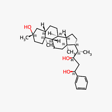 C[C@H]([C@H](O)C[C@H](O)c1ccccc1)[C@H]1CC[C@H]2[C@@H]3CC[C@H]4C[C@@](C)(O)CC[C@]4(C)[C@H]3CC[C@]12C